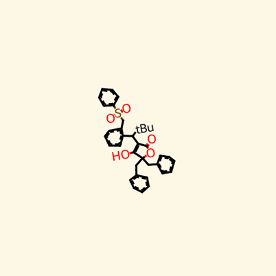 CC(C)(C)C(C1=C(O)C(Cc2ccccc2)(Cc2ccccc2)OC1=O)c1ccccc1CS(=O)(=O)c1ccccc1